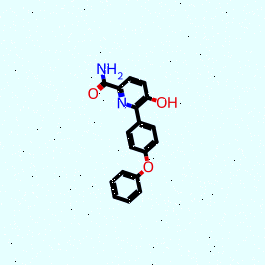 NC(=O)c1ccc(O)c(-c2ccc(Oc3ccccc3)cc2)n1